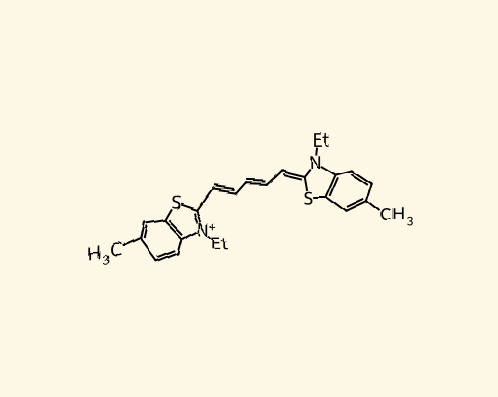 CCN1/C(=C/C=C/C=C/c2sc3cc(C)ccc3[n+]2CC)Sc2cc(C)ccc21